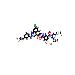 CCCN(CCC)C(=O)c1cc(C)cc(C(=O)N[C@@H](Cc2cc(F)cc(F)c2)[C@@H](O)CCNCc2cccc(CC)c2)c1